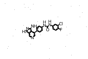 Nc1n[nH]c2cncc(-c3ccc(NC(=O)Nc4ccc(F)c(Cl)c4)cc3)c12